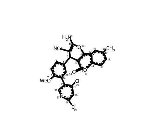 COc1ccc(C2C(C#N)=C(N)Oc3c2c(=O)oc2ccc(C)cc32)cc1-c1cnc(Cl)cc1Cl